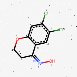 O/N=C1/CCOc2cc(Cl)c(Cl)cc21